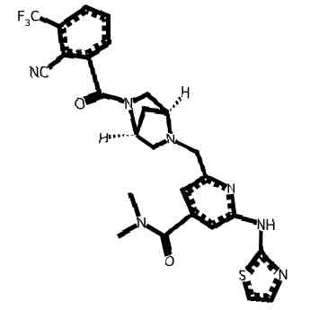 CN(C)C(=O)c1cc(CN2C[C@@H]3C[C@H]2CN3C(=O)c2cccc(C(F)(F)F)c2C#N)nc(Nc2nccs2)c1